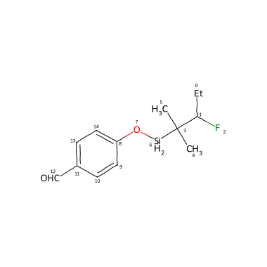 CCC(F)C(C)(C)[SiH2]Oc1ccc(C=O)cc1